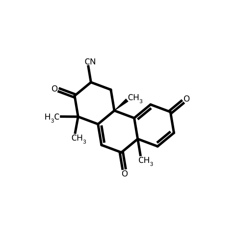 CC1(C)C(=O)C(C#N)C[C@@]2(C)C1=CC(=O)C1(C)C=CC(=O)C=C12